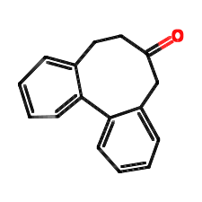 O=C1CCc2ccccc2-c2ccccc2C1